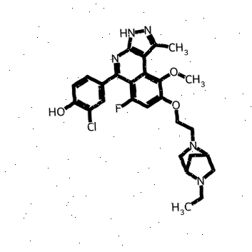 CCN1CC2CC1CN2CCOc1cc(F)c2c(-c3ccc(O)c(Cl)c3)nc3[nH]nc(C)c3c2c1OC